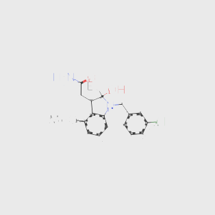 CCC1(O)C(CC(N)=O)c2c(OC)cccc2N1Cc1cccc(Cl)c1